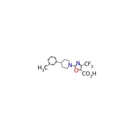 Cc1cccc(C2CCN(c3nc(C(F)(F)F)c(C(=O)O)o3)CC2)c1